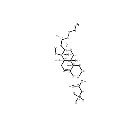 CC(C)CCC[C@@H](C)[C@H]1CC[C@H]2[C@@H]3CC=C4C[C@@H](OC(=O)C[N+](C)(C)C)CC[C@]4(C)[C@H]3CC[C@]12C